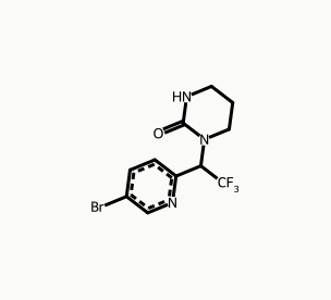 O=C1NCCCN1C(c1ccc(Br)cn1)C(F)(F)F